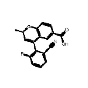 CC1C=C(c2c(F)cccc2C#N)c2cc(C(=O)O)ccc2O1